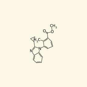 COC(=O)c1cccc(-n2c(C3CC3)nc3ccccc32)c1C